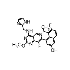 CCc1c(F)ccc2cc(O)cc(-c3ncc4c(NCc5ncc[nH]5)nc(OC)nc4c3F)c12